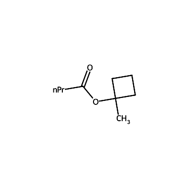 CCCC(=O)OC1(C)CCC1